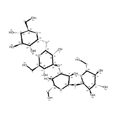 OC[C@H]1O[C@H](O[C@H]2O[C@H](CO)[C@@H](O)[C@H](O[C@@H]3[C@@H](O)[C@@H](O[C@H]4O[C@H](CO)[C@@H](O)[C@H](O)[C@H]4O)O[C@H](CO)[C@H]3O)[C@H]2O)[C@H](O)[C@@H](O)[C@@H]1O